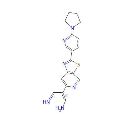 N=C/C(=C\N)c1cc2nc(-c3ccc(N4CCCC4)nc3)sc2cn1